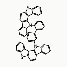 c1cc(-c2ccccc2-n2c3ccccc3c3ccc4sc5ccccc5c4c32)cc(-n2c3ccccc3c3ccc4sc5ccccc5c4c32)c1